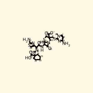 C[n+]1ccc(N)nc1SCC1(C(=O)[O-])CS[C@@H]2C(NC(=O)C(=NOC3(C(=O)O)CCCCC3)c3csc(N)n3)C(=O)N2C1